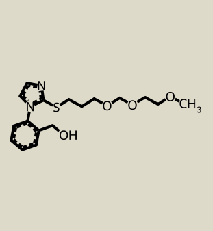 COCCOCOCCCSc1nccn1-c1ccccc1CO